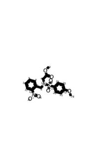 COC(=O)CN(Cc1ccccc1[N+](=O)[O-])S(=O)(=O)c1ccc(OC)cc1